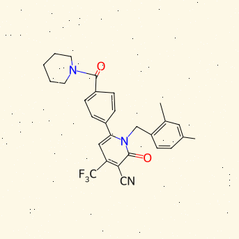 Cc1ccc(Cn2c(-c3ccc(C(=O)N4CCCCC4)cc3)cc(C(F)(F)F)c(C#N)c2=O)c(C)c1